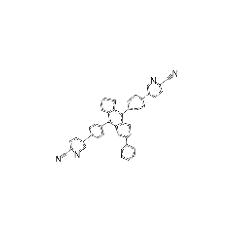 N#Cc1ccc(-c2ccc(-c3c4ccccc4c(-c4ccc(-c5ccc(C#N)nc5)cc4)c4cc(-c5ccccc5)ccc34)cc2)cn1